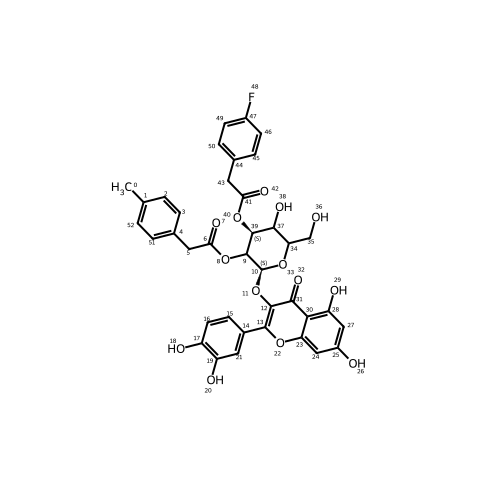 Cc1ccc(CC(=O)OC2[C@H](Oc3c(-c4ccc(O)c(O)c4)oc4cc(O)cc(O)c4c3=O)OC(CO)C(O)[C@@H]2OC(=O)Cc2ccc(F)cc2)cc1